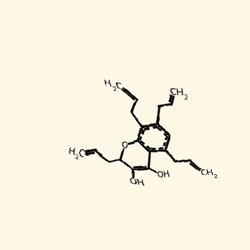 C=CC[C]1Oc2c(CC=C)c(CC=C)cc(CC=C)c2C(O)=C1O